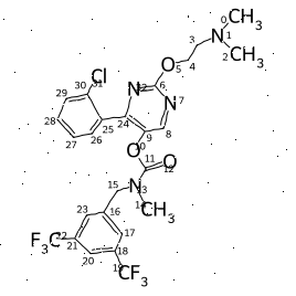 CN(C)CCOc1ncc(OC(=O)N(C)Cc2cc(C(F)(F)F)cc(C(F)(F)F)c2)c(-c2ccccc2Cl)n1